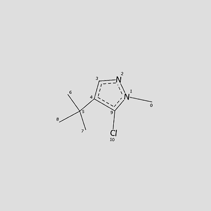 Cn1ncc(C(C)(C)C)c1Cl